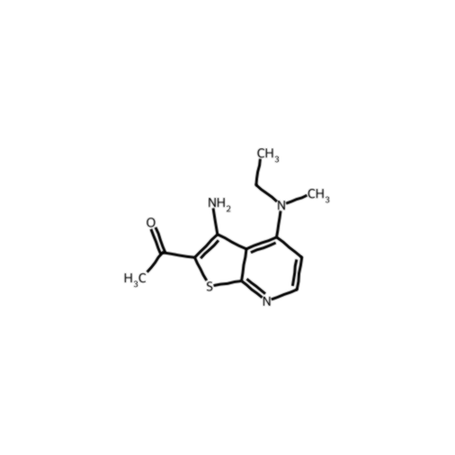 CCN(C)c1ccnc2sc(C(C)=O)c(N)c12